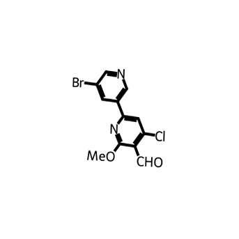 COc1nc(-c2cncc(Br)c2)cc(Cl)c1C=O